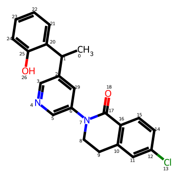 CC(c1cncc(N2CCc3cc(Cl)ccc3C2=O)c1)c1ccccc1O